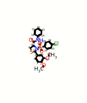 COc1ccc(C2SC[C@H](C(=O)Nc3ccccc3)N2S(=O)(=O)c2ccc(Cl)cc2)cc1OC